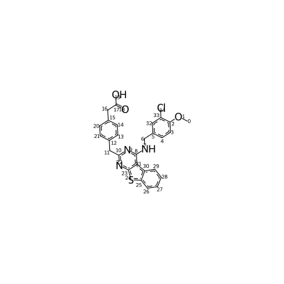 COc1ccc(CNc2nc(Cc3ccc(CC(=O)O)cc3)nc3sc4ccccc4c23)cc1Cl